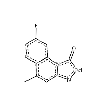 Cc1cc2n[nH]c(=O)n2c2cc(F)ccc12